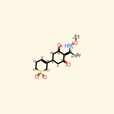 CCCC(NOCC)=C1C(=O)CC(C2=CCCS(=O)(=O)C2)CC1=O